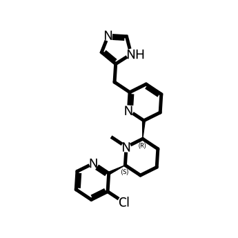 CN1[C@@H](C2CC=CC(Cc3cnc[nH]3)=N2)CCC[C@H]1c1ncccc1Cl